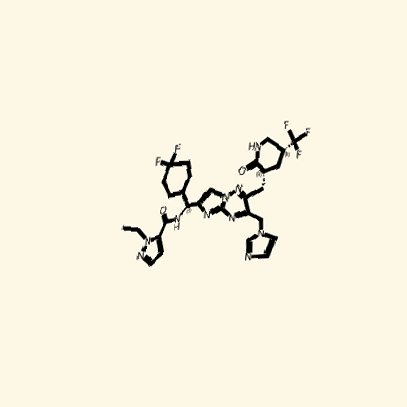 CCn1nccc1C(=O)N[C@H](c1cn2nc(C[C@H]3C[C@@H](C(F)(F)F)CNC3=O)c(Cn3ccnc3)nc2n1)C1CCC(F)(F)CC1